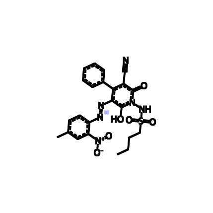 CCCCS(=O)(=O)Nn1c(O)c(/N=N/c2ccc(C)cc2[N+](=O)[O-])c(-c2ccccc2)c(C#N)c1=O